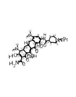 CCCN1CCC(C(=O)Nc2cc(N(C)C)c3c(c2O)C(=O)C2=C(O)[C@]4(O)C(=O)C(C(N)=O)=C(O)[C@@H](N(C)C)C4C[C@@H]2C3)CC1